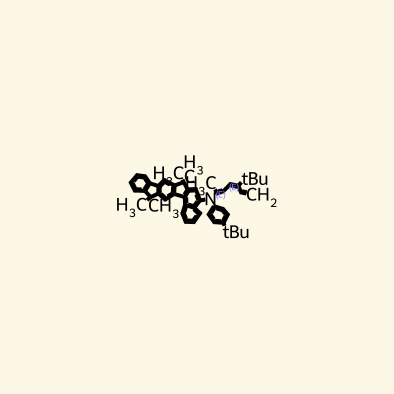 C=C/C(=C\C=C(/C)N(c1ccc(C(C)(C)C)cc1)c1cc2c(c3ccccc13)-c1cc3c(cc1C2(C)C)-c1ccccc1C3(C)C)C(C)(C)C